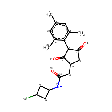 Cc1cc(C)c(C2C(=O)CC(CC(=O)NC3CC(F)C3)C2=O)c(C)c1